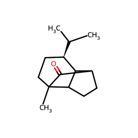 CC(C)[C@@H]1CCC2(C)C(=O)C3CCC2C31